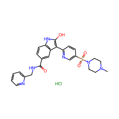 CN1CCN(S(=O)(=O)c2ccc(-c3c(O)[nH]c4ccc(C(=O)NCc5ccccn5)cc34)nc2)CC1.Cl